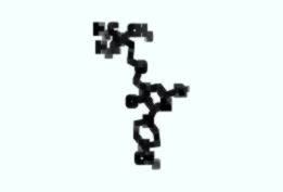 CN1CCN(c2nc(Br)cn(COCC[Si](C)(C)C)c2=O)CC1